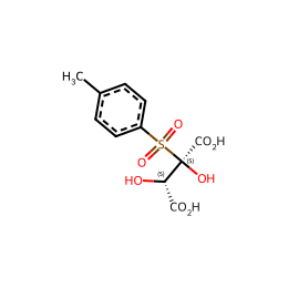 Cc1ccc(S(=O)(=O)[C@](O)(C(=O)O)[C@@H](O)C(=O)O)cc1